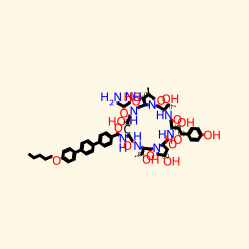 CCCCCOc1ccc(-c2ccc(-c3ccc(C(=O)NC4C[C@@H](O)C(OC(CN)CN)NC(=O)C5[C@@H](O)[C@@H](C)CN5C(=O)C([C@@H](C)O)NC(=O)C([C@H](O)[C@@H](O)c5ccc(O)cc5)NC(=O)C5C[C@@H](O)CN5C(=O)C([C@@H](C)O)NC4=O)cc3)cc2)cc1